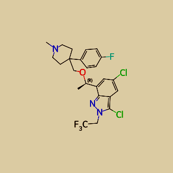 C[C@@H](OCC1(c2ccc(F)cc2)CCN(C)CC1)c1cc(Cl)cc2c(Cl)n(CC(F)(F)F)nc12